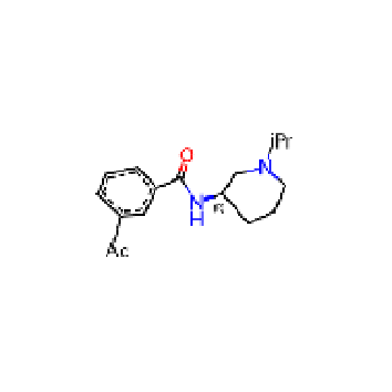 CC(=O)c1cccc(C(=O)N[C@@H]2CCCN(C(C)C)C2)c1